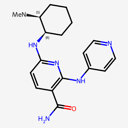 CN[C@H]1CCCC[C@H]1Nc1ccc(C(N)=O)c(Nc2ccncc2)n1